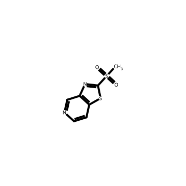 CS(=O)(=O)c1nc2cnccc2s1